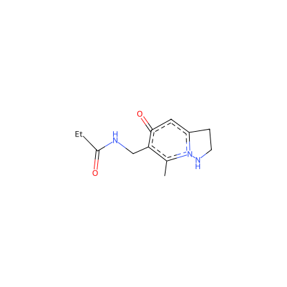 CCC(=O)NCc1c(C)n2c(cc1=O)CCN2